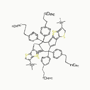 CCCCCCCCCCCCc1ccc(C2(c3ccc(CCCCCCCCCCCC)cc3)C3=Cc4c5c(sc4=C3C(c3ccc(CCCCCCCCCCCC)cc3)(c3ccc(CCCCCCCCCCCC)cc3)C3C=c4c(sc6[c]([Sn]([CH3])([CH3])[CH3])csc46)=C32)=[C]([Sn]([CH3])([CH3])[CH3])CS5)cc1